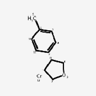 C1CCOC1.Cc1ccccc1.[Cr]